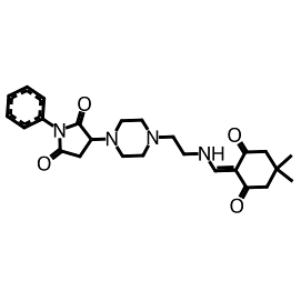 CC1(C)CC(=O)C(=CNCCN2CCN(C3CC(=O)N(c4ccccc4)C3=O)CC2)C(=O)C1